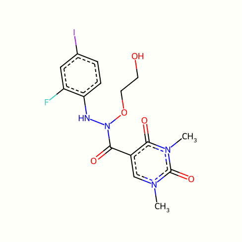 Cn1cc(C(=O)N(Nc2ccc(I)cc2F)OCCO)c(=O)n(C)c1=O